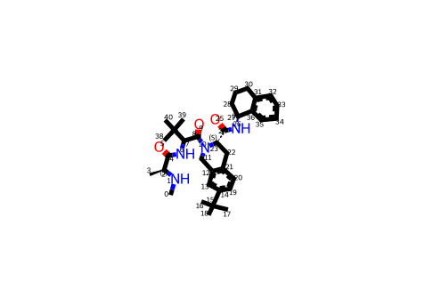 CN[C@@H](C)C(=O)NC(C(=O)N1Cc2cc(C(C)(C)C)ccc2C[C@H]1C(=O)N[C@@H]1CCCc2ccccc21)C(C)(C)C